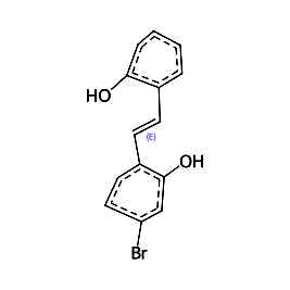 Oc1ccccc1/C=C/c1ccc(Br)cc1O